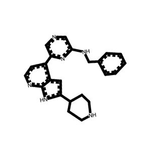 c1ccc(CNc2cncc(-c3ccnc4[nH]c(C5CCNCC5)cc34)n2)cc1